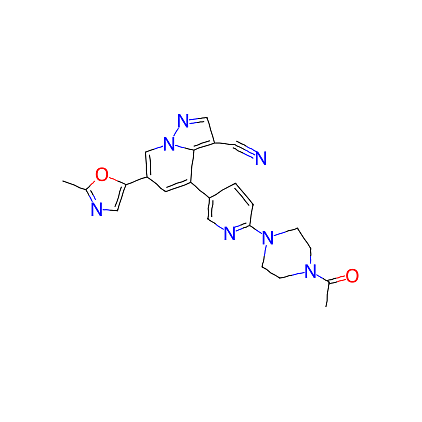 CC(=O)N1CCN(c2ccc(-c3cc(-c4cnc(C)o4)cn4ncc(C#N)c34)cn2)CC1